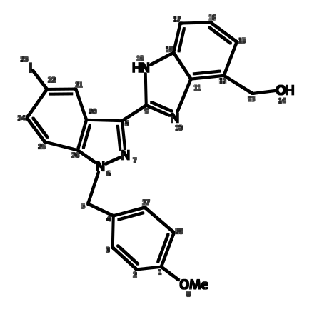 COc1ccc(Cn2nc(-c3nc4c(CO)cccc4[nH]3)c3cc(I)ccc32)cc1